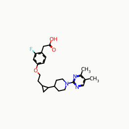 Cc1cnc(N2CCC(C3CC3CCOc3ccc(CC(=O)O)c(F)c3)CC2)nc1C